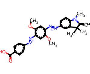 C=C1N(C)c2ccc(/N=N/c3cc(OC)c(/N=N/c4ccc(C(=O)O)cc4)cc3OC)cc2C1(C)C